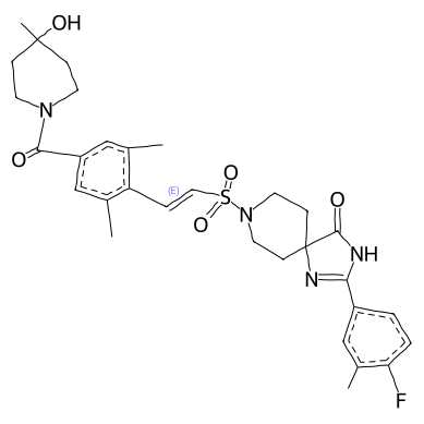 Cc1cc(C2=NC3(CCN(S(=O)(=O)/C=C/c4c(C)cc(C(=O)N5CCC(C)(O)CC5)cc4C)CC3)C(=O)N2)ccc1F